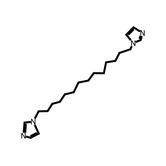 c1cn(CCCCCCCCCCCCCCn2ccnc2)cn1